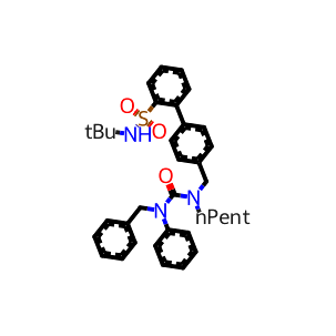 CCCCCN(Cc1ccc(-c2ccccc2S(=O)(=O)NC(C)(C)C)cc1)C(=O)N(Cc1ccccc1)c1ccccc1